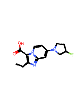 CCc1nc2cc(N3CCC(F)C3)ccn2c1C(=O)O